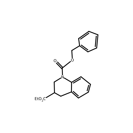 CCOC(=O)C1Cc2ccccc2N(C(=O)OCc2ccccc2)C1